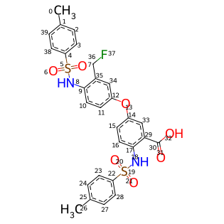 Cc1ccc(S(=O)(=O)Nc2ccc(Oc3ccc(NS(=O)(=O)c4ccc(C)cc4)c(C(=O)O)c3)cc2CF)cc1